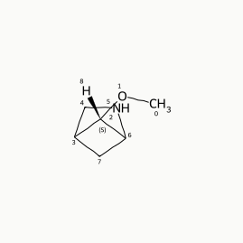 CO[C@H]1C2CNC1C2